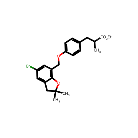 CCOC(=O)C(C)Cc1ccc(OCc2cc(Br)cc3c2OC(C)(C)C3)cc1